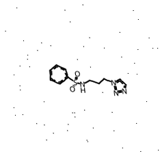 O=S(=O)(NCCCn1ccnn1)c1ccccc1